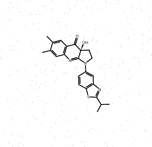 Cc1cc2c(cc1C)C(=O)[C@]1(O)CCN(c3ccc4sc(C(C)C)nc4c3)C1=N2